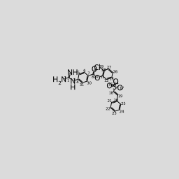 N=C(N)Nc1ccc(C(=O)Oc2cc(OS(=O)(=O)/C=C/c3ccccc3)ccc2Cl)cc1